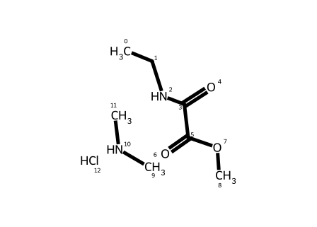 CCNC(=O)C(=O)OC.CNC.Cl